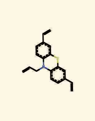 C=CCN1c2ccc(C=C)cc2Sc2cc(C=C)ccc21